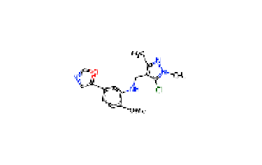 COc1ccc(-c2cnco2)cc1NCc1c(C)nn(C)c1Cl